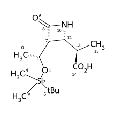 C[C@@H](O[Si](C)(C)C(C)(C)C)[C@@H]1C(=O)N[C@@H]1[C@@H](C)C(=O)O